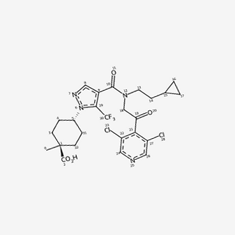 C[C@]1(C(=O)O)CC[C@H](n2ncc(C(=O)N(CCC3CC3)CC(=O)c3c(Cl)cncc3Cl)c2C(F)(F)F)CC1